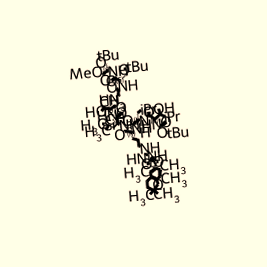 COC(=O)[C@H](COC(C)(C)C)NC(=O)[C@H](COC(C)(C)C)NC(=O)CNC(=O)[C@@H](NC(=O)[C@H](C[Si](C)(C)C)NC(=O)[C@@H](CCCNC(=N)NS(=O)(=O)c1c(C)c(C)c2c(c1C)CCC(C)(C)O2)NC(=O)[C@H](CC(C)C)NC(=O)[C@@H](NC(=O)OC(C)(C)C)C(O)C(C)C)[C@H](C)O